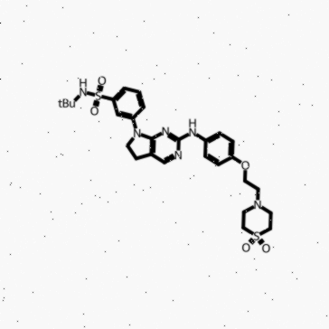 CC(C)(C)NS(=O)(=O)c1cccc(N2CCc3cnc(Nc4ccc(OCCN5CCS(=O)(=O)CC5)cc4)nc32)c1